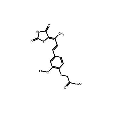 CCOc1cc(C=CC(C)=C2SC(=S)NC2=O)ccc1OCC(=O)OC